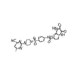 Cc1cc(C#N)nc(N2CCN(S(=O)(=O)c3ccc(NC(=O)c4ccc5[nH]c(=O)c(=O)[nH]c5c4)cc3)CC2)n1